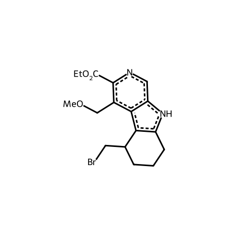 CCOC(=O)c1ncc2[nH]c3c(c2c1COC)C(CBr)CCC3